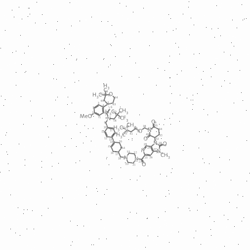 COc1ccc([C@]2(CCN(Cc3ccc(C4=CCC(CN5CCN(C(=O)c6cc7c(cn6)n(C6CCC(=O)N(COCC[Si](C)(C)C)C6=O)c(=O)n7C)CC5)CC4)cc3)CC(C)(C)C(F)(F)F)CCOC(C)(C)C2)cc1